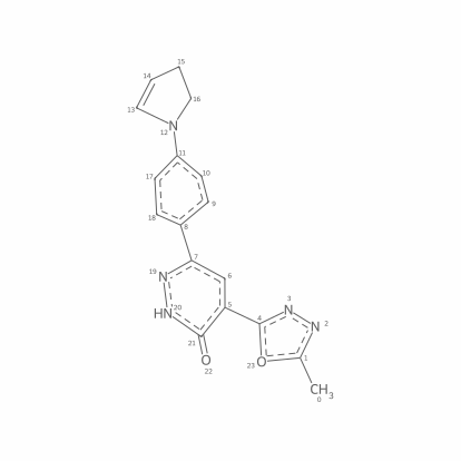 Cc1nnc(-c2cc(-c3ccc(N4C=CCC4)cc3)n[nH]c2=O)o1